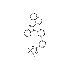 CC1(C)OB(c2cccc(-c3cccc(-n4c(-c5cccc6ccccc56)nc5ccccc54)c3)c2)OC1(C)C